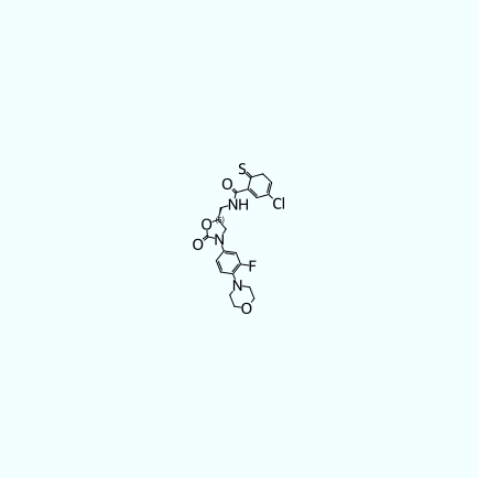 O=C(NC[C@H]1CN(c2ccc(N3CCOCC3)c(F)c2)C(=O)O1)C1=CC(Cl)=CCC1=S